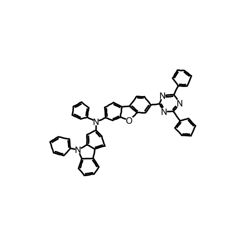 c1ccc(-c2nc(-c3ccccc3)nc(-c3ccc4c(c3)oc3cc(N(c5ccccc5)c5ccc6c7ccccc7n(-c7ccccc7)c6c5)ccc34)n2)cc1